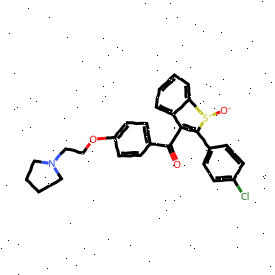 O=C(c1ccc(OCCN2CCCC2)cc1)c1c(-c2ccc(Cl)cc2)[s+]([O-])c2ccccc12